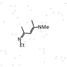 CCN=C(C)C=C(C)NC